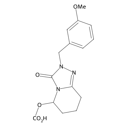 COc1cccc(Cn2nc3n(c2=O)C(OC(=O)O)CCC3)c1